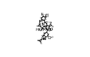 COc1cc(C(=O)NC[C@](O)(c2cc(C3(C(N)=O)CC3)cc(-c3cc(Cl)c(F)cc3F)n2)C2CC2)cc2cn(C3CC3)nc12